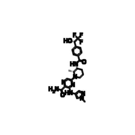 C[C@@H]1[C@H](NC(=O)c2ccc([C@H](O)C(F)(F)F)cc2)CCCN1c1cnc(C(N)=O)c(Nc2cnn(C)c2)n1